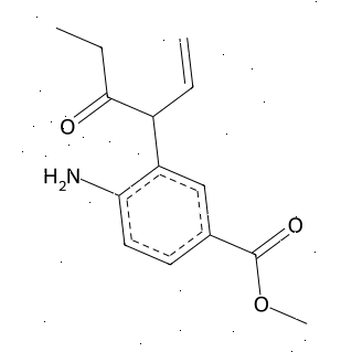 C=CC(C(=O)CC)c1cc(C(=O)OC)ccc1N